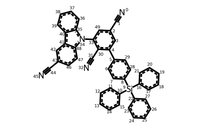 N#Cc1cc(-c2ccc([Si](c3ccccc3)(c3ccccc3)c3ccccc3)cc2)c(C#N)c(-n2c3ccccc3c3cc(C#N)ccc32)c1